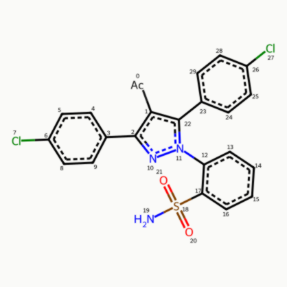 CC(=O)c1c(-c2ccc(Cl)cc2)nn(-c2ccccc2S(N)(=O)=O)c1-c1ccc(Cl)cc1